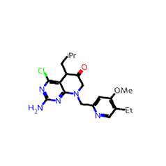 CCc1cnc(CN2CC(=O)C(CC(C)C)c3c(Cl)nc(N)nc32)cc1OC